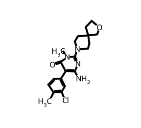 Cc1ccc(-c2c(N)nc(N3CCC4(CCOC4)CC3)n(C)c2=O)cc1Cl